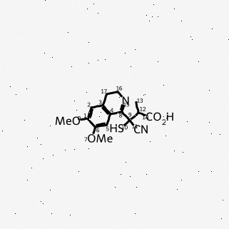 COc1cc2c(cc1OC)C(C(S)(C#N)C(C)C(=O)O)=NCC2